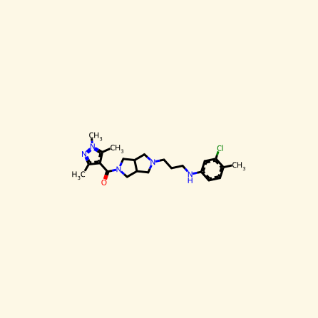 Cc1ccc(NCCCN2CC3CN(C(=O)c4c(C)nn(C)c4C)CC3C2)cc1Cl